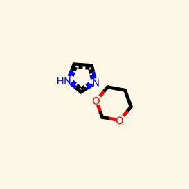 C1COCOC1.c1c[nH]cn1